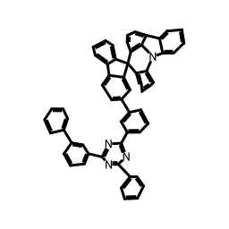 c1ccc(-c2cccc(-c3nc(-c4ccccc4)nc(-c4cccc(-c5ccc6c(c5)C5(c7ccccc7-6)c6ccccc6-n6c7ccccc7c7cccc5c76)c4)n3)c2)cc1